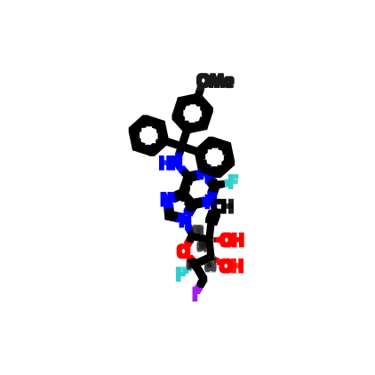 C#C[C@]1(O)[C@H](n2cnc3c(NC(c4ccccc4)(c4ccccc4)c4ccc(OC)cc4)nc(F)nc32)O[C@](F)(CI)[C@H]1O